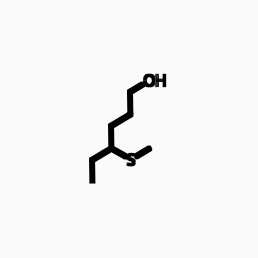 CCC(CCCO)SC